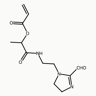 C=CC(=O)OC(C)C(=O)NCCN1CCN=C1C=O